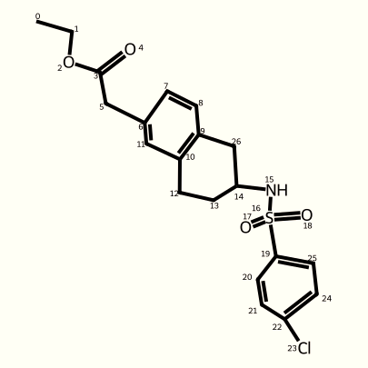 CCOC(=O)Cc1ccc2c(c1)CCC(NS(=O)(=O)c1ccc(Cl)cc1)C2